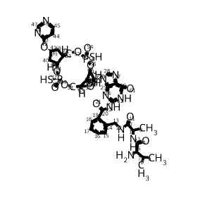 CC(NC(=O)C(N)C(C)C)C(=O)NCc1ccccc1C(=O)Nc1nc2c(ncn2[C@@H]2O[C@@H]3CO[P@@](=O)(S)O[C@H]4C[C@H](Oc5ccncn5)C[C@@H]4CO[P@@](=O)(S)O[C@@H]2[C@@H]3O)c(=O)[nH]1